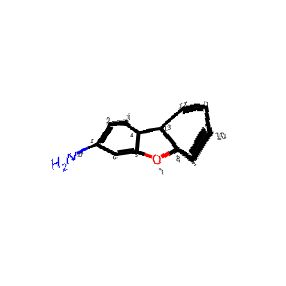 NC1=CCC2C(=C1)OC1C=CC=CC12